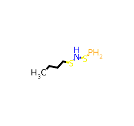 CCCCSNSP